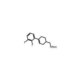 CCCCCCCCCCC1CC=C(c2cccc(F)c2F)CC1